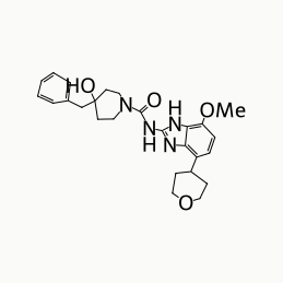 COc1ccc(C2CCOCC2)c2nc(NC(=O)N3CCC(O)(Cc4ccccc4)CC3)[nH]c12